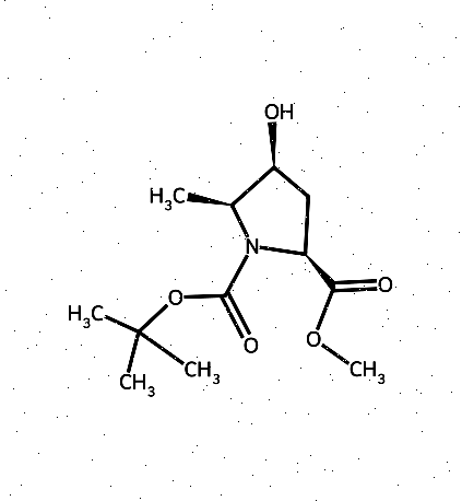 COC(=O)[C@@H]1C[C@H](O)[C@H](C)N1C(=O)OC(C)(C)C